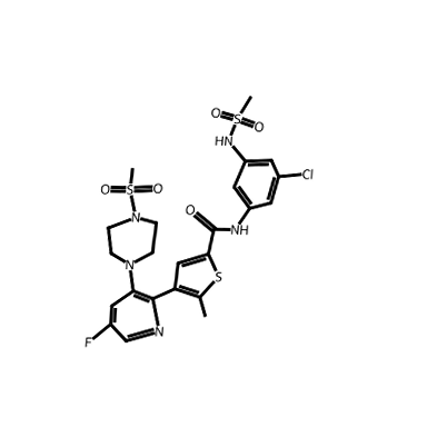 Cc1sc(C(=O)Nc2cc(Cl)cc(NS(C)(=O)=O)c2)cc1-c1ncc(F)cc1N1CCN(S(C)(=O)=O)CC1